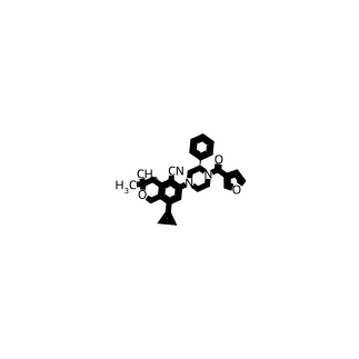 CC1(C)Cc2c(C#N)c(N3CCN(C(=O)c4ccoc4)[C@@H](c4ccccc4)C3)cc(C3CC3)c2CO1